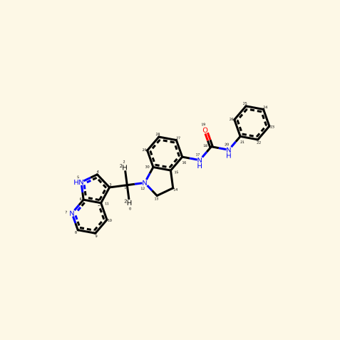 [2H]C([2H])(c1c[nH]c2ncccc12)N1CCc2c(NC(=O)Nc3ccccc3)cccc21